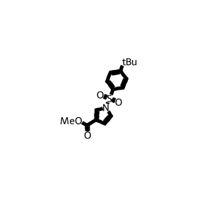 COC(=O)c1ccn(S(=O)(=O)c2ccc(C(C)(C)C)cc2)c1